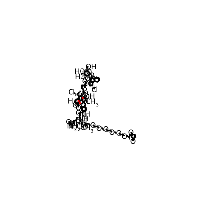 CC(C)[C@H](NC(=O)CCOCCOCCOCCOCCOCCOCCN1C(=O)C=CC1=O)C(=O)N[C@@H](CCCNC(N)=O)C(=O)Nc1ccc(CC(CN(C)C(=O)O)(c2cc3c(c4ccccc24)[C@H](CCl)CN3C(=O)c2ccc(C(=O)N3C[C@@H](CCl)c4c3cc(O[C@@H]3O[C@@H](CO)[C@@H](O)[C@@H](O)[C@H]3O)c3ccccc43)s2)N(C)C(=O)O)cc1